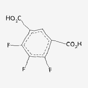 O=C(O)c1cc(C(=O)O)c(F)c(F)c1F